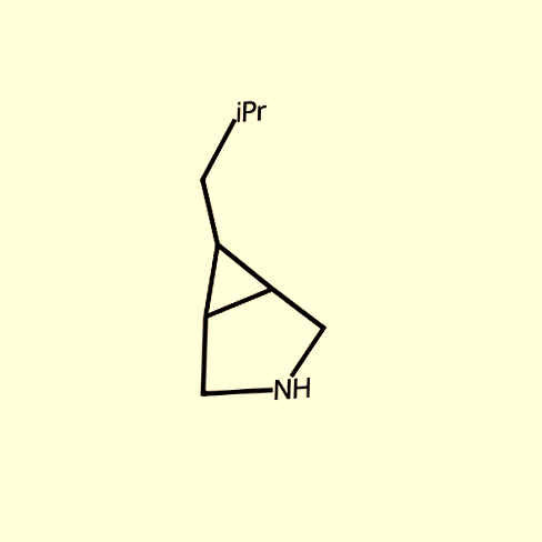 CC(C)CC1C2CNCC21